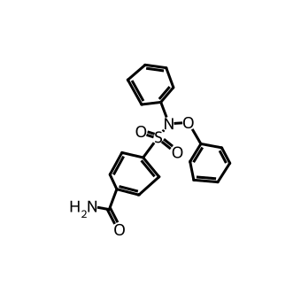 NC(=O)c1ccc(S(=O)(=O)N(Oc2ccccc2)c2ccccc2)cc1